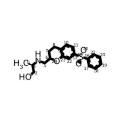 C[C@H](CO)NCC1CCc2ccc(S(=O)(=O)c3ccccc3)cc2O1